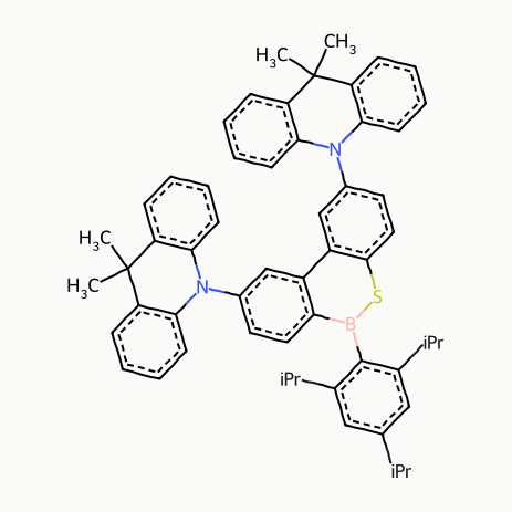 CC(C)c1cc(C(C)C)c(B2Sc3ccc(N4c5ccccc5C(C)(C)c5ccccc54)cc3-c3cc(N4c5ccccc5C(C)(C)c5ccccc54)ccc32)c(C(C)C)c1